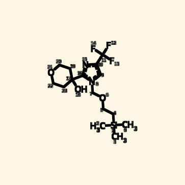 C[Si](C)(C)CCOCn1cc(C(F)(F)F)nc1C1(O)CCOCC1